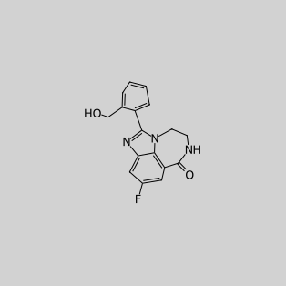 O=C1NCCn2c(-c3ccccc3CO)nc3cc(F)cc1c32